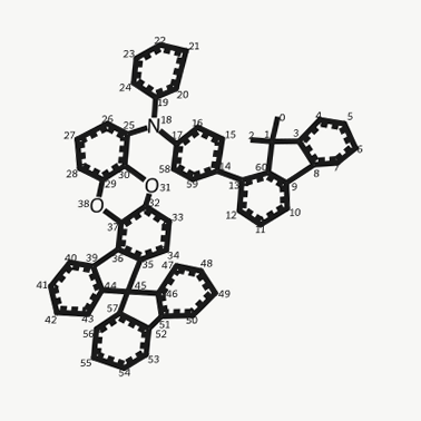 CC1(C)c2ccccc2-c2cccc(-c3ccc(N(c4ccccc4)c4cccc5c4Oc4ccc6c(c4O5)-c4ccccc4C64c5ccccc5-c5ccccc54)cc3)c21